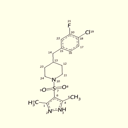 Cc1n[nH]c(C)c1S(=O)(=O)N1CCC(Cc2ccc(Cl)c(F)c2)CC1